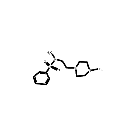 CN1CCN(CCN(C)S(=O)(=O)c2ccccc2)CC1